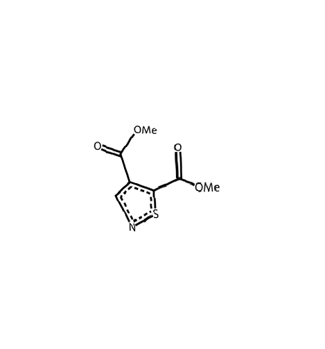 COC(=O)c1cnsc1C(=O)OC